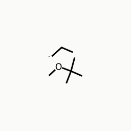 COC(C)(C)C.[CH2]CC